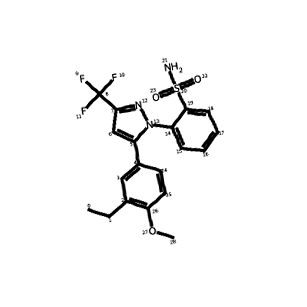 CCc1cc(-c2cc(C(F)(F)F)nn2-c2ccccc2S(N)(=O)=O)ccc1OC